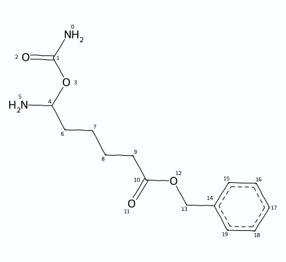 NC(=O)OC(N)CCCCC(=O)OCc1ccccc1